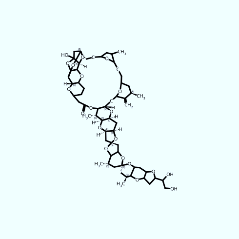 C=C1C2C[C@@H]3O[C@H]4C[C@H]5O[C@@]6(CC7O[C@]8(C[C@H](C)C9OC%10CC(C(O)CO)OC%10CC9O8)C[C@H](C)C7O6)C[C@H]5O[C@H]4[C@H](C)C3OC(=O)CC3CCC4OC5C6OC7(O)C[C@](CCC8CC(C)C(CCC(C[C@H]1C)O2)O8)(OC6[C@H]4O3)O[C@@H]57